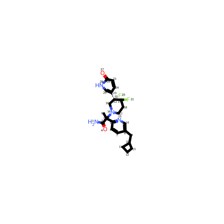 CC(C(N)=O)(c1ccc(CC2CCC2)cn1)N1CCC(F)(F)[C@@H](c2ccc(=O)[nH]c2)C1